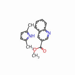 COC(=O)c1cnc2ccccc2c1.Cc1ccc(C)[nH]1